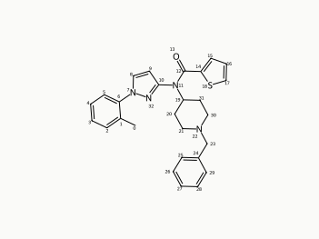 Cc1ccccc1-n1ccc(N(C(=O)c2cccs2)C2CCN(Cc3ccccc3)CC2)n1